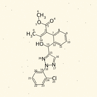 CC=C(C(=O)OC)c1ccccc1C(O)c1cnn(-c2ccccc2Cl)n1